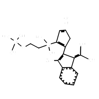 CC(C)=C1C(C2=C([Si](C)(C)CCO[Si](C)(C)C)C=CC2)=[C]([Zr+2])c2ccccc21.[Cl-].[Cl-]